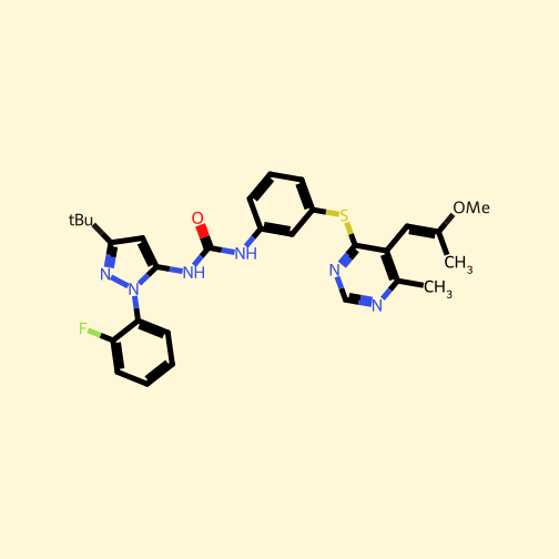 CO/C(C)=C/c1c(C)ncnc1Sc1cccc(NC(=O)Nc2cc(C(C)(C)C)nn2-c2ccccc2F)c1